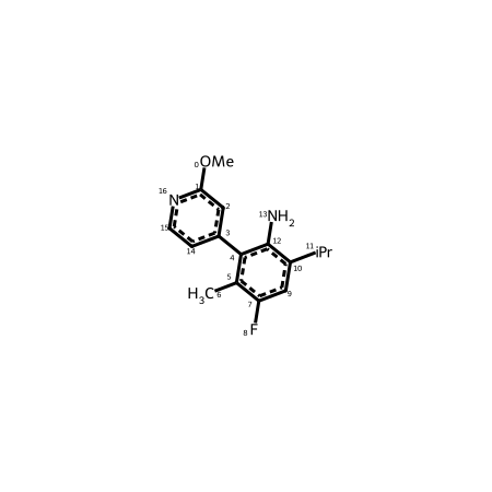 COc1cc(-c2c(C)c(F)cc(C(C)C)c2N)ccn1